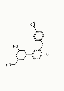 OCC1CC(O)CC(c2ccc(Cl)c(Cc3ccc(C4CC4)cc3)c2)C1